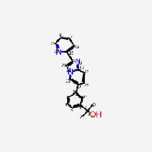 CC(C)(O)c1cccc(-c2ccc3nc(-c4ccccn4)cn3c2)c1